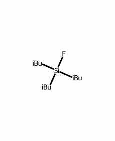 CCC(C)[Si](F)(C(C)CC)C(C)CC